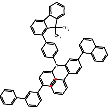 CC1(C)c2ccccc2-c2cccc(-c3ccc(N(c4ccc(-c5cccc(-c6ccccc6)c5)cc4)c4cc(-c5cccc6ccccc56)ccc4-c4ccccc4)cc3)c21